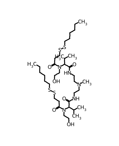 CCCCCCSSCCC(=O)N(CCO)C(C(=O)NCCN(C)CCNC(=O)C(C(C)C)N(CCO)C(=O)CCSSCCCCCC)C(C)C